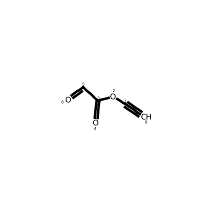 C#COC(=O)C=O